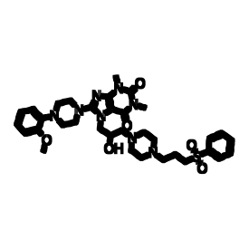 COc1ccccc1N1CCN(c2nc3c(c(=O)n(C)c(=O)n3C)n2CC(O)CN2CCN(CCCS(=O)(=O)c3ccccc3)CC2)CC1